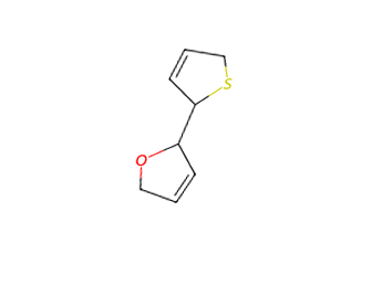 C1=CC(C2C=CCS2)OC1